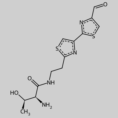 C[C@@H](O)[C@H](N)C(=O)NCCc1nc(-c2nc(C=O)cs2)cs1